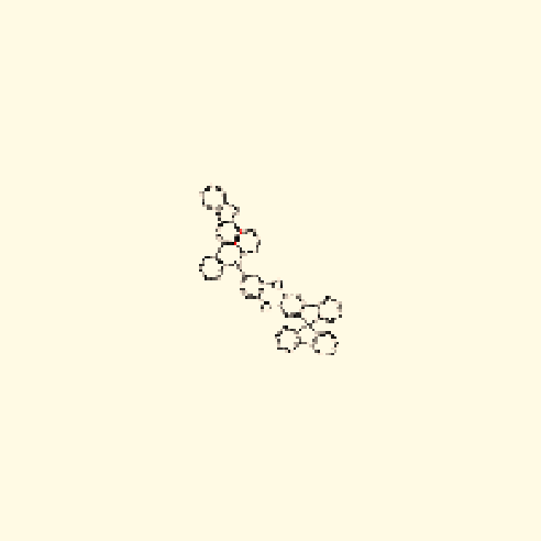 c1ccc(N(c2ccc3c(c2)Oc2cc4c(cc2O3)C2(c3ccccc3-c3ccccc32)c2ccccc2-4)c2ccccc2-c2ccc3sc4ccccc4c3c2)cc1